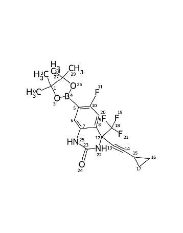 CC1(C)OB(c2cc3c(cc2F)C(C#CC2CC2)(C(F)(F)F)NC(=O)N3)OC1(C)C